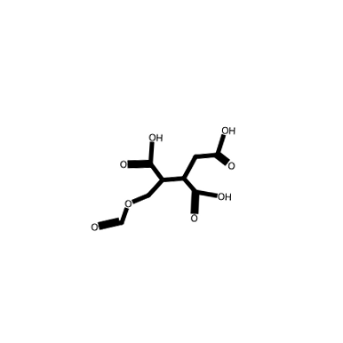 O=COCC(C(=O)O)C(CC(=O)O)C(=O)O